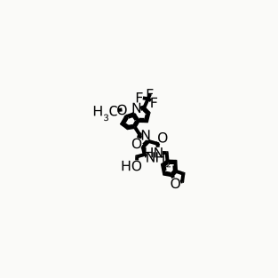 COc1ccc(-c2nc(C(=O)NCc3ccc4c(c3)CCO4)c([C@@H](N)CO)o2)c2ccc(C(F)(F)F)nc12